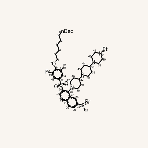 CCCCCCCCCCCCCCCCOc1c(F)cc(S(=O)(=O)c2cnc3ccc([S+](C)[O-])cc3c2N2CCC(N3CCC(N4CCN(CC)CC4)CC3)CC2)cc1F